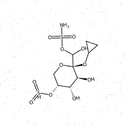 NS(=O)(=O)OC(O)[C@@]1(OC2CC2)OC[C@@H](O[SH](=O)=O)[C@@H](O)[C@@H]1O